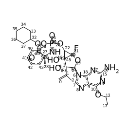 C=C(C)[C@]1(O)[C@H](n2cnc3c(OCC)nc(N)nc32)O[C@]2(F)C(O[P@](=O)(N[C@@H](C)C(=O)OC3CCCCC3)Oc3ccccc3)[C@@]21O